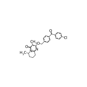 Cc1c(OCc2ccc(C(=O)c3ccc(Cl)cc3)cc2)nc2n(c1=O)C(C)CCC2